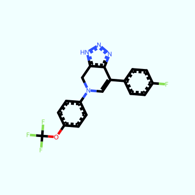 Fc1ccc(C2=CN(c3ccc(OC(F)(F)F)cc3)Cc3[nH]nnc32)cc1